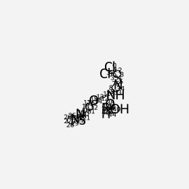 Clc1ccc(CN2CCC(NCCCCOc3ccc(-c4csc(N5CCCCC5)n4)cc3)CC2)cc1Cl.O=C(O)C(F)(F)F